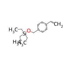 C=Cc1ccc(CO[Si](CC)(CC)CC)cc1